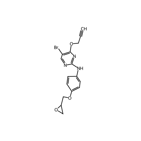 C#CCOc1nc(Nc2ccc(OCC3CO3)cc2)ncc1Br